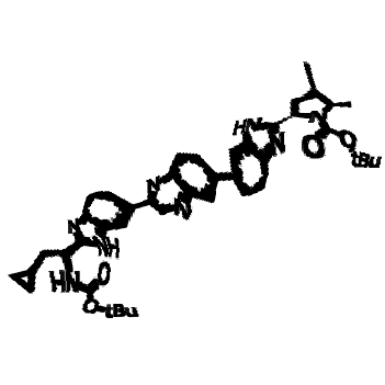 C[C@@H]1C[C@@H](c2nc3ccc(-c4ccc5nc(-c6ccc7nc([C@H](CC8CC8)NC(=O)OC(C)(C)C)[nH]c7c6)cnc5c4)cc3[nH]2)N(C(=O)OC(C)(C)C)[C@@H]1C